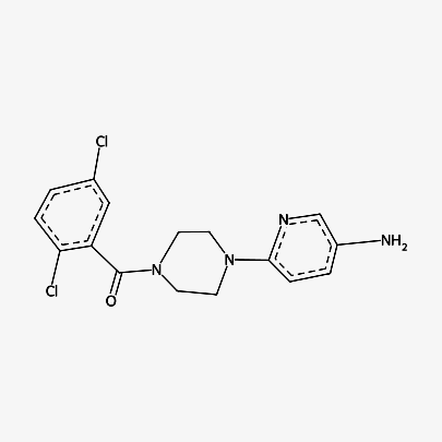 Nc1ccc(N2CCN(C(=O)c3cc(Cl)ccc3Cl)CC2)nc1